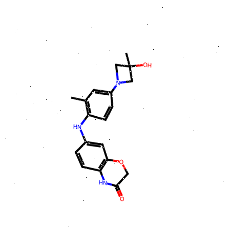 Cc1cc(N2CC(C)(O)C2)ccc1Nc1ccc2c(c1)OCC(=O)N2